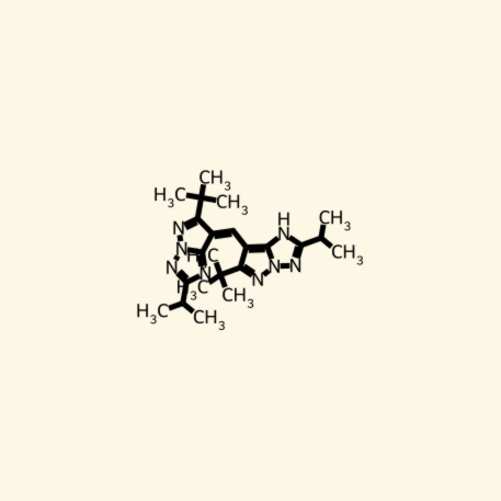 CC(C)c1nc2c(=Cc3c(C(C)(C)C)nn4nc(C(C)C)[nH]c34)c(C(C)(C)C)nn2n1